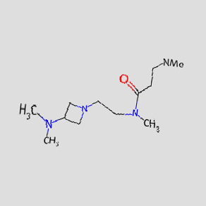 CNCCC(=O)N(C)CCN1CC(N(C)C)C1